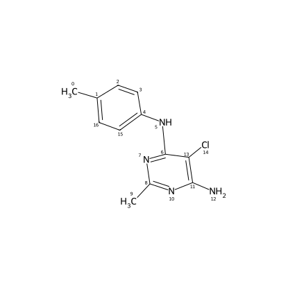 Cc1ccc(Nc2nc(C)nc(N)c2Cl)cc1